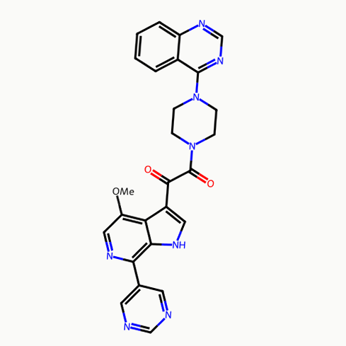 COc1cnc(-c2cncnc2)c2[nH]cc(C(=O)C(=O)N3CCN(c4ncnc5ccccc45)CC3)c12